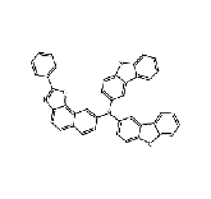 c1ccc(-c2nc3ccc4ccc(N(c5ccc6oc7ccccc7c6c5)c5ccc6sc7ccccc7c6c5)cc4c3o2)cc1